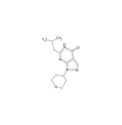 CC(Cc1nc2c(cnn2C2CCOCC2)c(=O)[nH]1)C(F)(F)F